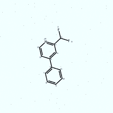 FC(F)c1cc(-c2ccccc2)ccn1